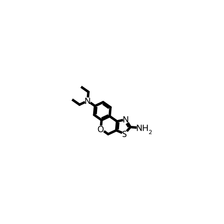 CCN(CC)c1ccc2c(c1)OCc1sc(N)nc1-2